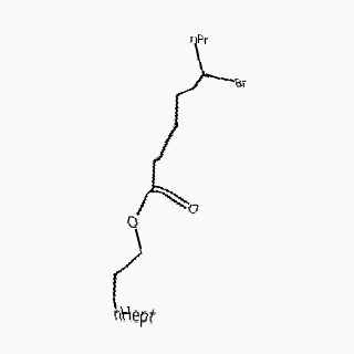 CCCCCCCCCOC(=O)CCCC(Br)CCC